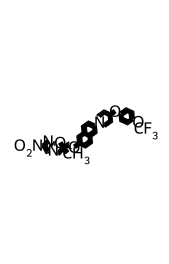 CC1(COc2ccc3cc(N4CCC(Oc5ccc(OC(F)(F)F)cc5)CC4)ccc3c2)Cn2cc([N+](=O)[O-])nc2O1